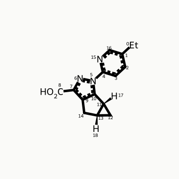 CCc1ccc(-n2nc(C(=O)O)c3c2[C@@H]2C[C@@H]2C3)nc1